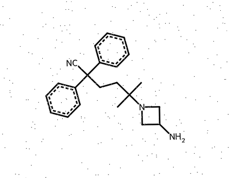 CC(C)(CCC(C#N)(c1ccccc1)c1ccccc1)N1CC(N)C1